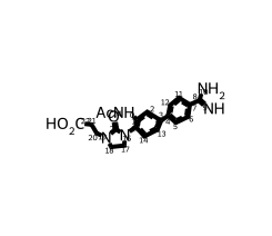 CC(=O)Nc1cc(-c2ccc(C(=N)N)cc2)ccc1N1CCN(CCC(=O)O)C1=O